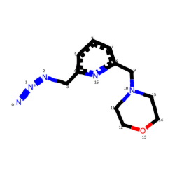 [N-]=[N+]=NCc1cccc(CN2CCOCC2)n1